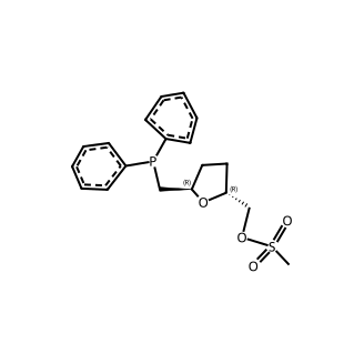 CS(=O)(=O)OC[C@H]1CC[C@H](CP(c2ccccc2)c2ccccc2)O1